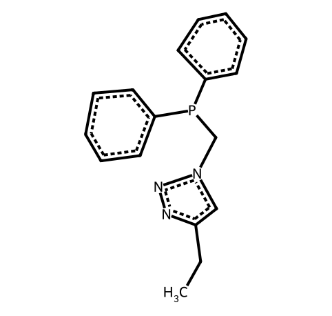 CCc1cn(CP(c2ccccc2)c2ccccc2)nn1